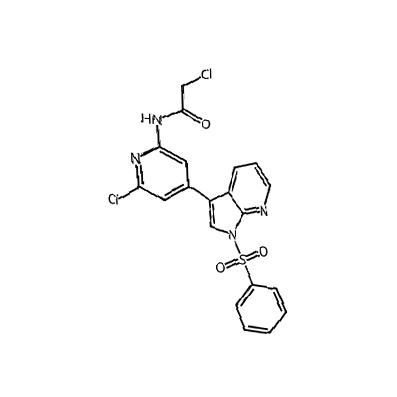 O=C(CCl)Nc1cc(-c2cn(S(=O)(=O)c3ccccc3)c3ncccc23)cc(Cl)n1